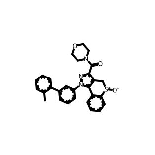 Cc1ccccc1-c1cccc(-n2nc(C(=O)N3CCOCC3)c3c2-c2ccccc2[S+]([O-])C3)c1